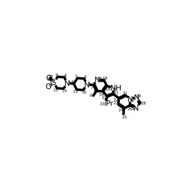 Cc1c(N2CCC(N3CCS(=O)(=O)CC3)CC2)ncc2[nH]c(-c3cc(C)c4ncnn4c3)c(C(C)C)c12